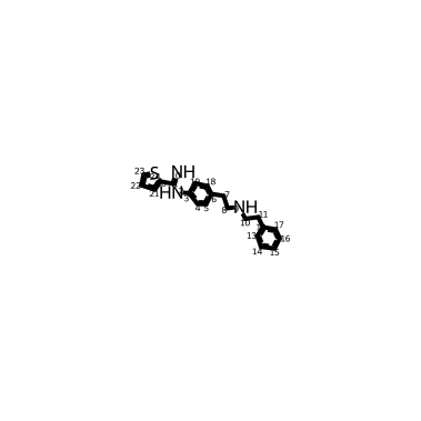 N=C(Nc1ccc(CCNCCc2ccccc2)cc1)c1cccs1